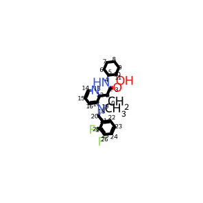 C=C(C(=O)N[C@H]1CCCC[C@@H]1O)c1ncccc1N(C)Cc1cccc(F)c1F